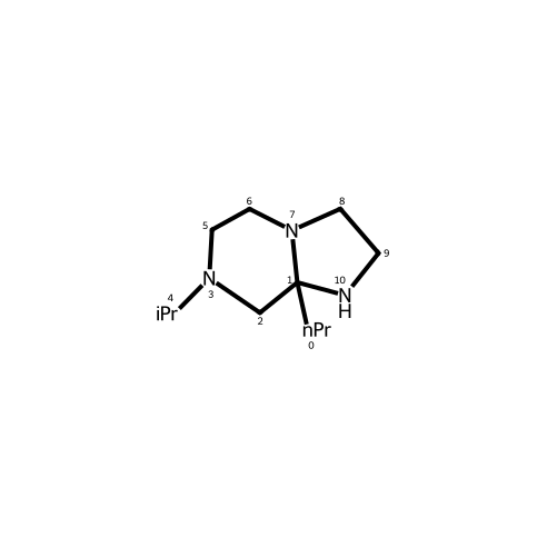 CCCC12CN(C(C)C)CCN1CCN2